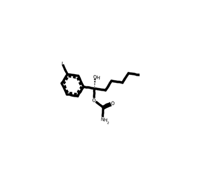 CCCCC[C@@](O)(OC(N)=O)c1cccc(I)c1